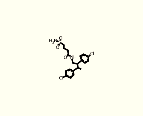 CC(c1ccc(Cl)cc1)C(CNC(=O)CCCS(N)(=O)=O)c1ccc(Cl)cc1